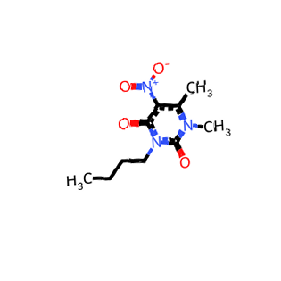 CCCCn1c(=O)c([N+](=O)[O-])c(C)n(C)c1=O